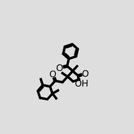 CCC(C)(CC(=O)C1C(C)=CCCC1(C)C)C(C)(C(=O)O)C(=O)c1ccccc1